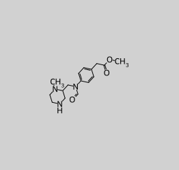 COC(=O)Cc1ccc(N(C=O)CC2CNCCN2C)cc1